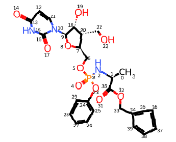 C[C@H](N[P@](=O)(OC[C@H]1O[C@@H](n2ccc(=O)[nH]c2=O)[C@H](O)[C@@H]1CO)Oc1ccccc1)C(=O)OCc1ccccc1